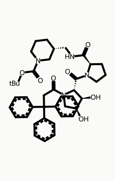 CC(C)(C)OC(=O)N1CCC[C@H](CNC(=O)[C@H]2CCCN2C(=O)[C@@H]2[C@@H](O)[C@@H](O)CN2C(=O)CC(c2ccccc2)(c2ccccc2)c2ccccc2)C1